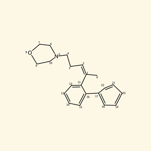 CC(=CCCN1CCOCC1)c1ccccc1-c1ccccc1